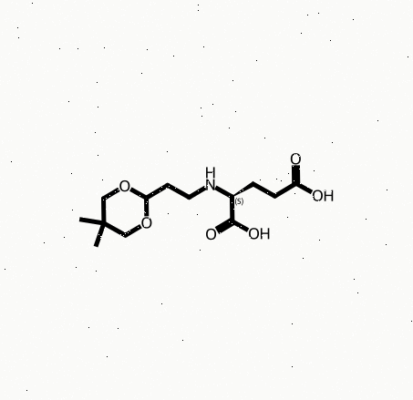 CC1(C)COC(CCN[C@@H](CCC(=O)O)C(=O)O)OC1